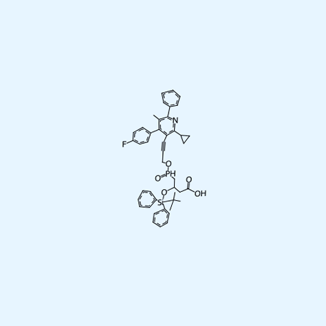 Cc1c(-c2ccccc2)nc(C2CC2)c(C#CCO[PH](=O)CC(CC(=O)O)O[Si](c2ccccc2)(c2ccccc2)C(C)(C)C)c1-c1ccc(F)cc1